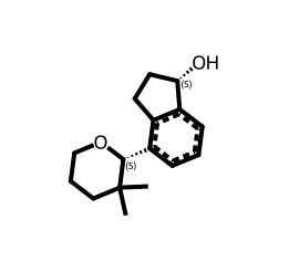 CC1(C)CCCO[C@@H]1c1cccc2c1CC[C@@H]2O